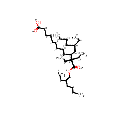 CCCCC(CC)COC(=O)C(CC)(CC)C(CCCCCCCCC(=O)O)CC(CC)CCCC